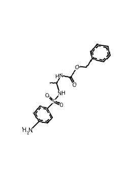 C[C](NC(=O)OCc1ccccc1)NS(=O)(=O)c1ccc(N)cc1